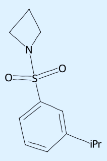 CC(C)c1cccc(S(=O)(=O)N2CCC2)c1